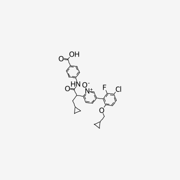 O=C(O)c1ccc(NC(=O)C(CC2CC2)c2ccc(-c3c(OCC4CC4)ccc(Cl)c3F)c[n+]2[O-])cc1